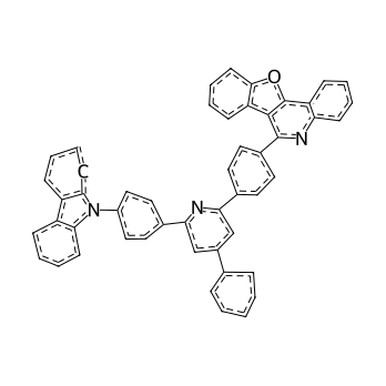 c1ccc(-c2cc(-c3ccc(-c4nc5ccccc5c5oc6ccccc6c45)cc3)nc(-c3ccc(-n4c5ccccc5c5ccccc54)cc3)c2)cc1